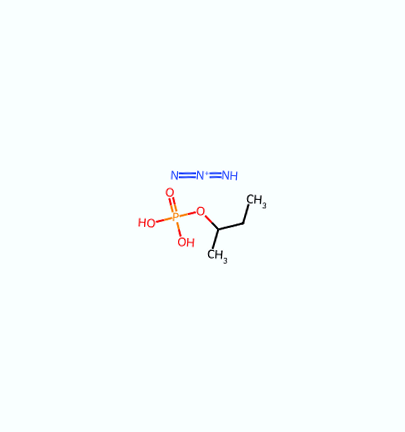 CCC(C)OP(=O)(O)O.[N-]=[N+]=N